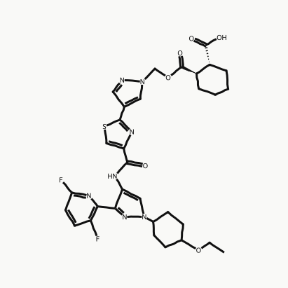 CCOC1CCC(n2cc(NC(=O)c3csc(-c4cnn(COC(=O)[C@@H]5CCCC[C@H]5C(=O)O)c4)n3)c(-c3nc(F)ccc3F)n2)CC1